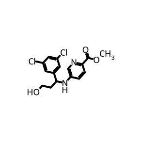 COC(=O)c1ccc(NC(CCO)c2cc(Cl)cc(Cl)c2)cn1